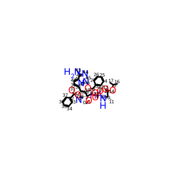 CO[C@](C#N)(CO[PH](=O)N[C@@H](C)C(=O)OC(C)C)[C@@H](OC(=O)c1ccccc1)[C@@H](OC(=O)c1ccccc1)c1ccc2c(N)ncnn12